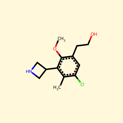 COc1c(CCO)cc(Cl)c(C)c1C1CNC1